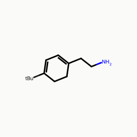 CC(C)(C)C1=CC=C(CCN)CC1